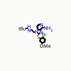 COc1ccc(Br)c(Sc2nc3c(N)nccc3n2CCNCC(C)(C)C)c1